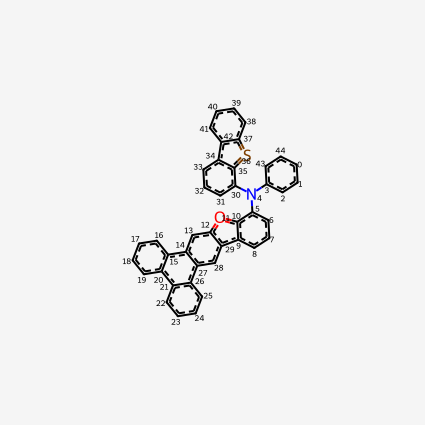 c1ccc(N(c2cccc3c2oc2cc4c5ccccc5c5ccccc5c4cc23)c2cccc3c2sc2ccccc23)cc1